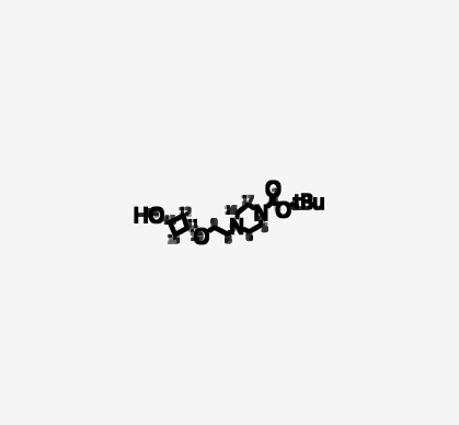 CC(C)(C)OC(=O)N1CCN(CCO[C@H]2C[C@@H](O)C2)CC1